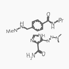 CN(C)/N=N/c1[nH]cnc1C(N)=O.CNNCc1ccc(C(=O)NC(C)C)cc1